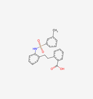 Cc1cccc(S(=O)(=O)Nc2ccccc2CCc2ccccc2C(=O)O)c1